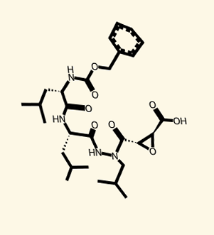 CC(C)C[C@H](NC(=O)OCc1ccccc1)C(=O)N[C@@H](CC(C)C)C(=O)NN(CC(C)C)C(=O)[C@H]1O[C@@H]1C(=O)O